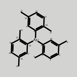 Cc1ccc(C)c([As](c2cc(C)ccc2C)c2cc(C)ccc2C)c1